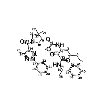 CCCC[C@H](NC(=O)O[C@@H]1CN(C(=O)c2nn(-c3ccccc3)nc2C)CC1(C)C)C(=O)C(=O)NC(C)c1ccccc1